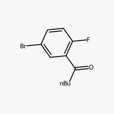 CCCCC(=O)c1cc(Br)ccc1F